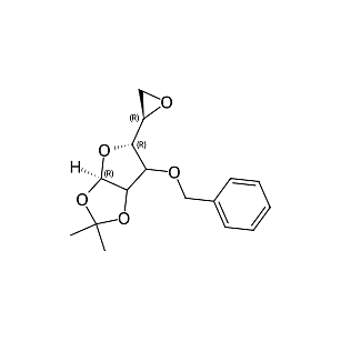 CC1(C)OC2C(OCc3ccccc3)[C@@H]([C@H]3CO3)O[C@@H]2O1